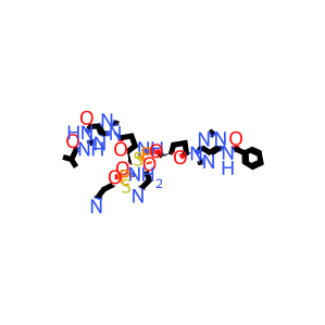 CC(C)C(=O)Nc1nc2c(ncn2[C@H]2C[C@H](NP(=S)(OCCC#N)OC[C@@H]3CC[C@H](n4cnc5c(NC(=O)c6ccccc6)ncnc54)O3)[C@@H](COP(N)(=S)OCCC#N)O2)c(=O)[nH]1